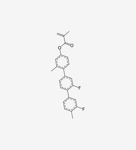 C=C(C)C(=O)Oc1ccc(-c2ccc(-c3ccc(C)c(F)c3)c(F)c2)c(C)c1